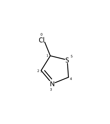 ClC1[C]=NCS1